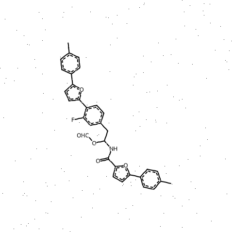 Cc1ccc(-c2ccc(C(=O)NC(Cc3ccc(-c4ccc(-c5ccc(C)cc5)o4)c(F)c3)OC=O)o2)cc1